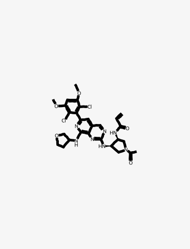 C=CC(=O)N[C@H]1CN(C(C)=O)C[C@H]1Nc1ncc2cc(-c3c(Cl)c(OC)cc(OC)c3Cl)nc(NC3CCOC3)c2n1